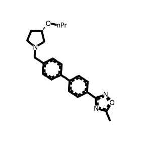 CCCO[C@H]1CCN(Cc2ccc(-c3ccc(-c4noc(C)n4)cc3)cc2)C1